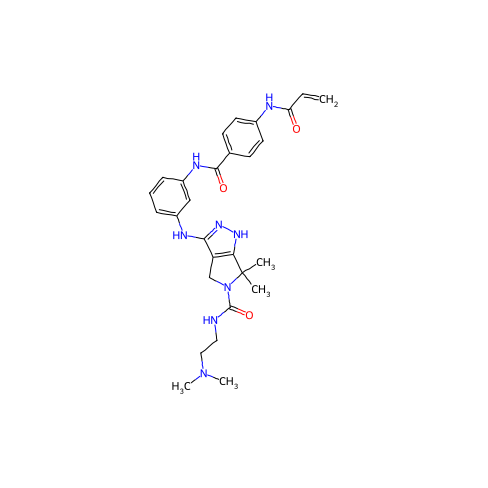 C=CC(=O)Nc1ccc(C(=O)Nc2cccc(Nc3n[nH]c4c3CN(C(=O)NCCN(C)C)C4(C)C)c2)cc1